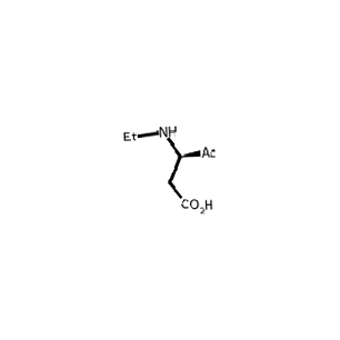 CCN[C@H](CC(=O)O)C(C)=O